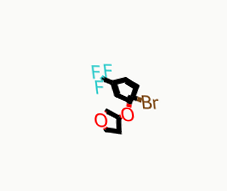 FC(F)(F)c1ccc(Br)c(OC2CCOC2)c1